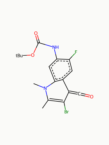 CC1=C(Br)C(=C=O)c2cc(F)c(NC(=O)OC(C)(C)C)cc2N1C